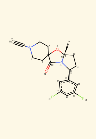 C#CN1CCC2(CC1)O[C@@H]1CC[C@@H](c3cc(F)cc(F)c3)N1C2=O